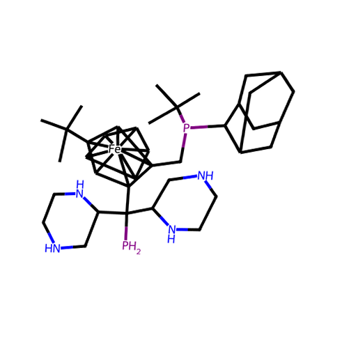 CC(C)(C)P(C[C]12[CH]3[C]4(C(C)(C)C)[CH]5[C]1(C(P)(C1CNCCN1)C1CNCCN1)[Fe]35241678[CH]2[CH]1[CH]6[CH]7[CH]28)C1C2CC3CC(C2)CC1C3